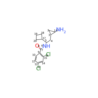 NC1CC1CC(NC(=O)c1ccc(Cl)cc1Cl)C1CCC1